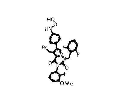 COc1cccc(-n2c(=O)c3c(CBr)c(-c4ccc(NOO)cc4)cn3n(Cc3c(F)cccc3F)c2=O)c1F